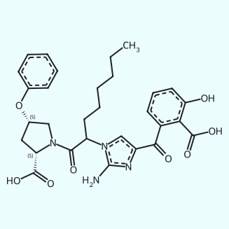 CCCCCCC(C(=O)N1C[C@@H](Oc2ccccc2)C[C@H]1C(=O)O)n1cc(C(=O)c2cccc(O)c2C(=O)O)nc1N